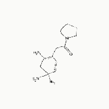 NC1=C(CC(=O)N2CCCC2)C=CC(N)(N)C1